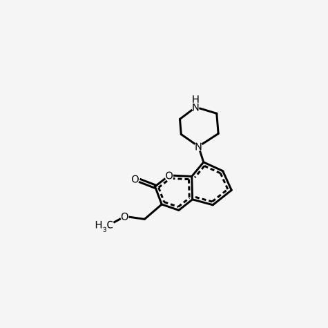 COCc1cc2cccc(N3CCNCC3)c2oc1=O